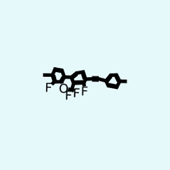 Cc1ccc(C#Cc2ccc3c(c2F)C(F)(F)Oc2c-3ccc(C)c2F)cc1